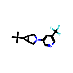 CC(C)(C)C1C2CN(c3cncc(C(F)(F)F)c3)CC21